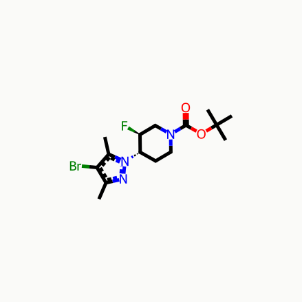 Cc1nn([C@H]2CCN(C(=O)OC(C)(C)C)C[C@@H]2F)c(C)c1Br